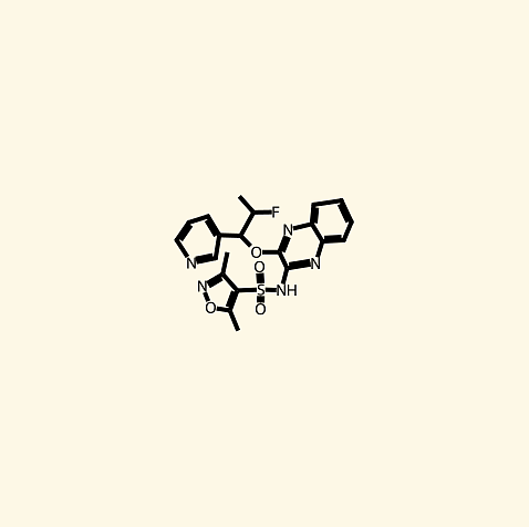 Cc1noc(C)c1S(=O)(=O)Nc1nc2ccccc2nc1OC(c1cccnc1)C(C)F